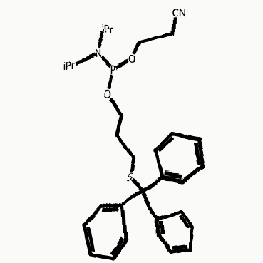 CC(C)N(C(C)C)P(OCCC#N)OCCCSC(c1ccccc1)(c1ccccc1)c1ccccc1